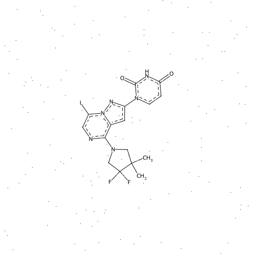 CC1(C)CN(c2ncc(I)n3nc(-n4ccc(=O)[nH]c4=O)cc23)CC1(F)F